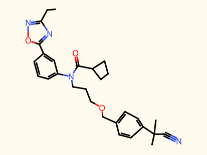 CCc1noc(-c2cccc(N(CCCOCc3ccc(C(C)(C)C#N)cc3)C(=O)C3CCC3)c2)n1